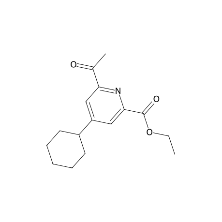 CCOC(=O)c1cc(C2CCCCC2)cc(C(C)=O)n1